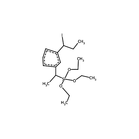 CCO[Si](OCC)(OCC)C(C)c1cccc(C(I)CC)c1